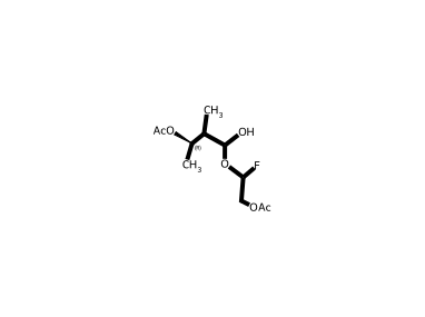 CC(=O)OCC(F)OC(O)C(C)[C@@H](C)OC(C)=O